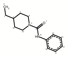 CCC1CCN(C(=O)Nc2ccccc2)CC1